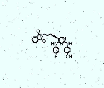 N#Cc1ccc(Nc2ncc(C#CCCCN3C(=O)c4ccccc4C3=O)c(Nc3ccc(F)cc3)n2)cc1